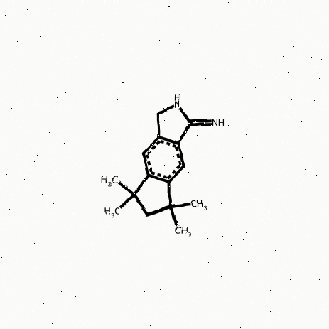 CC1(C)CC(C)(C)c2cc3c(cc21)CNC3=N